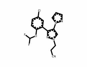 N#CCCn1cc(-n2cccn2)c(-c2cc(Cl)ccc2OC(F)F)n1